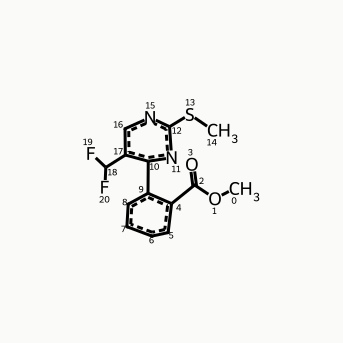 COC(=O)c1ccccc1-c1nc(SC)ncc1C(F)F